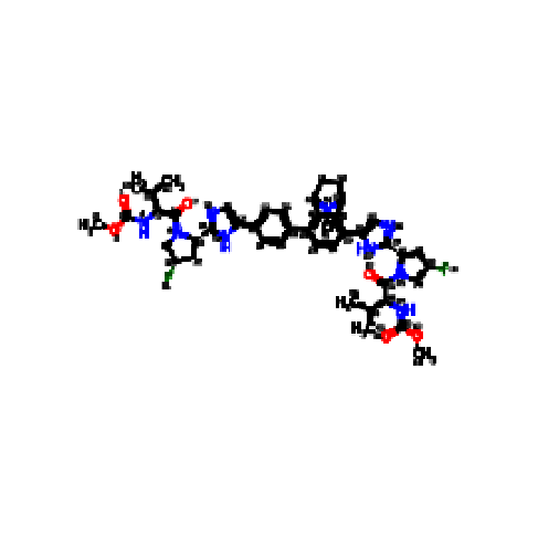 COC(=O)N[C@H](C(=O)N1C[C@@H](F)C[C@H]1c1ncc(-c2ccc(-c3ccc(-c4cnc([C@@H]5C[C@@H](F)CN5C(=O)[C@@H](NC(=O)OC)C(C)C)[nH]4)c4c3C3CCC4N3C)cc2)[nH]1)C(C)C